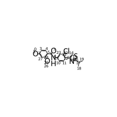 COc1ccc(C(=O)Nc2ccc(-c3csc(C(C)C)n3)c(Cl)c2)c(OC)c1